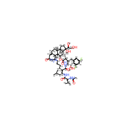 CC(=O)N[C@H](C(=O)N[C@@H](CC(C)C)[C@@H](CCCCN)C(=O)N[C@@H](CO)[C@H](Cc1cc(F)cc(F)c1)[C@H](C)C(=O)O[C@H]1C[C@@]2(C)[C@@H](CC[C@]2(O)C(=O)CO)[C@@H]2CCC3=CC(=O)CC[C@]3(C)[C@H]21)C(C)C